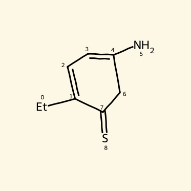 CCC1=CC=C(N)CC1=S